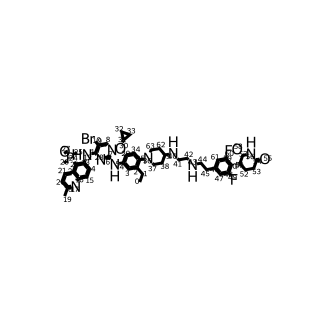 CCc1cc(Nc2ncc(Br)c(Nc3ccc4nc(C)ccc4c3P(C)(C)=O)n2)c(OC2CC2)cc1N1CCC(NCCNCCc2cc(F)c([C@H]3CCC(=O)NC3=O)c(F)c2)CC1